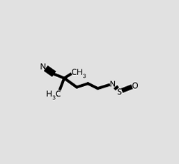 CC(C)(C#N)CCCN=S=O